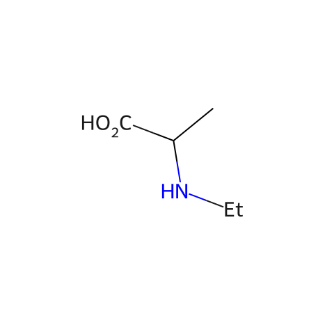 [CH2]CNC(C)C(=O)O